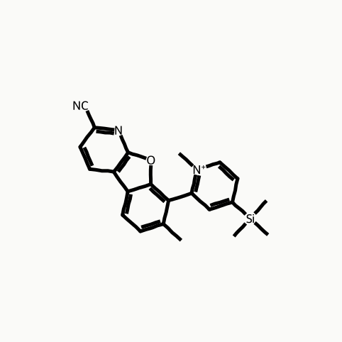 Cc1ccc2c(oc3nc(C#N)ccc32)c1-c1cc([Si](C)(C)C)cc[n+]1C